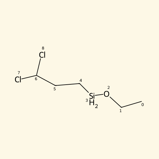 CCO[SiH2]CCC(Cl)Cl